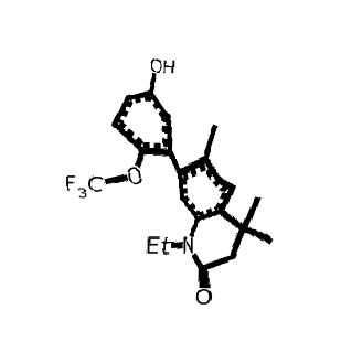 CCN1C(=O)CC(C)(C)c2cc(C)c(-c3cc(O)ccc3OC(F)(F)F)cc21